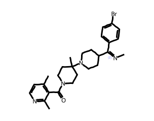 C/N=C(\c1ccc(Br)cc1)C1CCN(C2(C)CCN(C(=O)c3c(C)ccnc3C)CC2)CC1